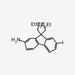 CCOC(=O)CC1(CC(=O)OCC)c2cc(N)ccc2-c2ccc(I)cc21